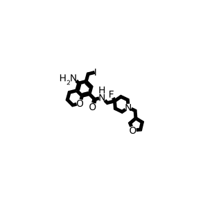 Nc1c(CI)cc(C(=O)NCC2(F)CCN(CC3CCOC3)CC2)c2c1CCCO2